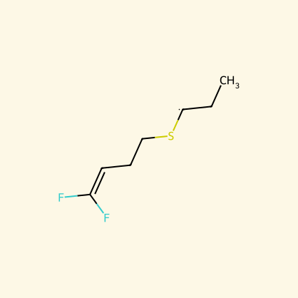 CC[CH]SCCC=C(F)F